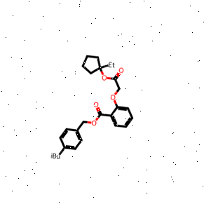 CCC(C)c1ccc(COC(=O)c2ccccc2OCC(=O)OC2(CC)CCCC2)cc1